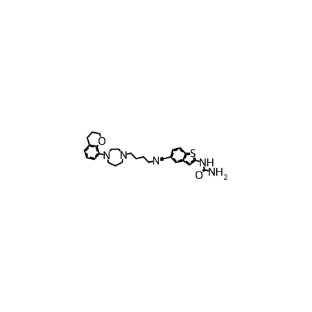 NC(=O)Nc1cc2cc(C#[N+]CCCCN3CCCN(c4cccc5c4OCCC5)CC3)ccc2s1